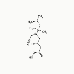 CC(C)C[Si](C)(C)[C@H](CC#N)CC(=O)CC(=O)OO